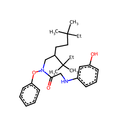 CCC(C)(C)CCC(CN(Oc1ccccc1)C(=O)CNc1cccc(O)c1)C(C)(C)CC